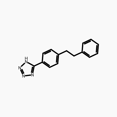 c1ccc(CCc2ccc(-c3nnn[nH]3)cc2)cc1